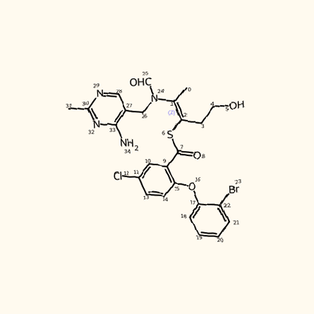 C/C(=C(\CCO)SC(=O)c1cc(Cl)ccc1Oc1ccccc1Br)N(C=O)Cc1cnc(C)nc1N